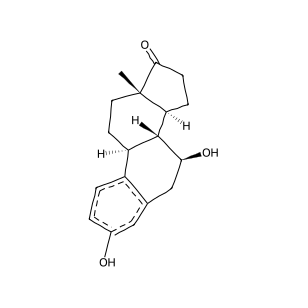 C[C@]12CC[C@@H]3c4ccc(O)cc4C[C@H](O)[C@H]3[C@@H]1CCC2=O